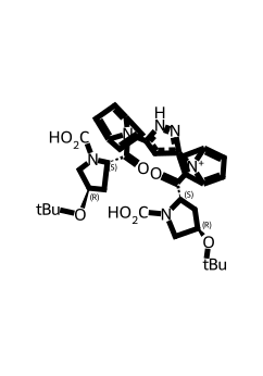 CC(C)(C)O[C@@H]1C[C@@H](C(=O)[N+]2(c3cc([N+]4(C(=O)[C@@H]5C[C@@H](OC(C)(C)C)CN5C(=O)O)C5=CC=C4C=C5)[nH]n3)C3=CC=C2C=C3)N(C(=O)O)C1